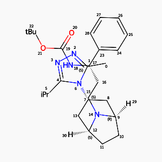 Cc1nnc(C(C)C)n1[C@@H]1C[C@H]2CC[C@@H](C1)N2CC[C@H](NC(=O)OC(C)(C)C)c1ccccc1